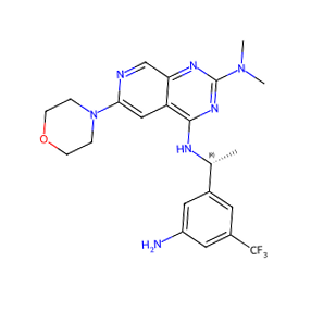 C[C@@H](Nc1nc(N(C)C)nc2cnc(N3CCOCC3)cc12)c1cc(N)cc(C(F)(F)F)c1